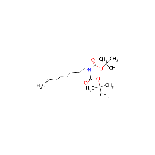 C=CCCCCCCN(C(=O)OC(C)(C)C)C(=O)OC(C)(C)C